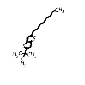 CCCCCCCCc1cc2sc(C(C)(C)C)cc2s1